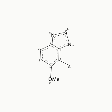 COc1ccc2nsnc2c1C